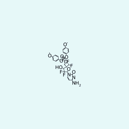 COc1ccc(OP(=O)(OC[C@@]2(C(F)F)O[C@@H](n3ccc(N)nc3=O)C(F)(F)C2O)Oc2ccc(OC)cc2)cc1